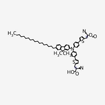 CCCCCCCCCCCCCCCCCCc1ccc2c(c1)C(C)(C)c1cc(N(c3ccc(-c4ccc(/C=C(\C#N)OC=O)s4)cc3)c3ccc(-c4ccc(/C=C(\C#N)C(=O)O)s4)cc3)ccc1-2